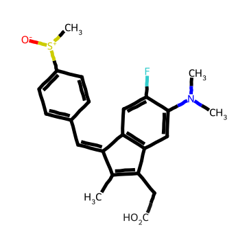 CC1=C(CC(=O)O)c2cc(N(C)C)c(F)cc2C1=Cc1ccc([S+](C)[O-])cc1